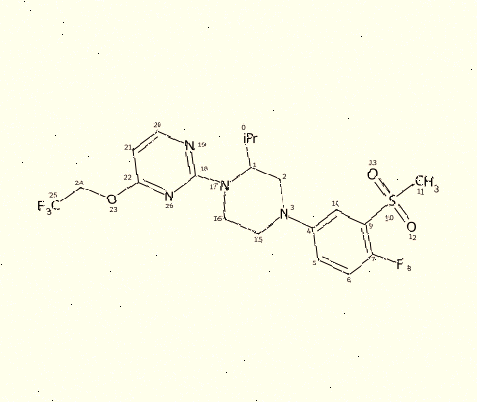 CC(C)C1CN(c2ccc(F)c(S(C)(=O)=O)c2)CCN1c1nccc(OCC(F)(F)F)n1